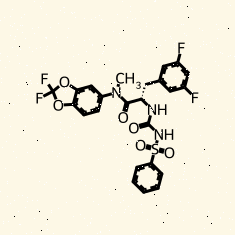 CN(C(=O)[C@H](Cc1cc(F)cc(F)c1)NC(=O)NS(=O)(=O)c1ccccc1)c1ccc2c(c1)OC(F)(F)O2